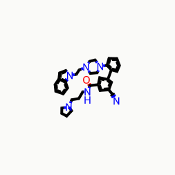 N#Cc1cc(C(=O)NCCCN2CCCC2)cc(-c2ccccc2N2CCN(CCn3ccc4ccccc43)CC2)c1